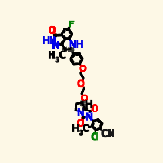 Cc1c(N2C(=O)[C@@H]3[C@H](OCCOCCOc4ccc([C@H]5Nc6cc(F)cc7c(=O)[nH]nc(c67)[C@@H]5C)cc4)CCN3C2=O)ccc(C#N)c1Cl